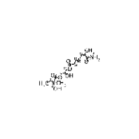 CCC(C)(CO)C(=O)OCC(O)COC(=O)CCSCC(C)C(N)=O